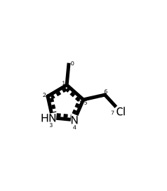 Cc1c[nH]nc1CCl